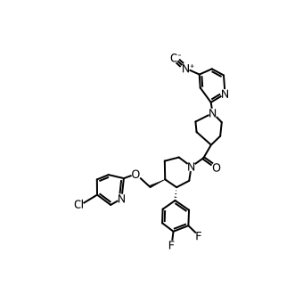 [C-]#[N+]c1ccnc(N2CCC(C(=O)N3CC[C@H](COc4ccc(Cl)cn4)[C@@H](c4ccc(F)c(F)c4)C3)CC2)c1